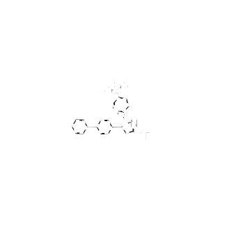 CS(=O)(=O)c1ccc(-n2nc(C(F)(F)F)cc2-c2ccc(-c3ccccc3)cc2)nc1